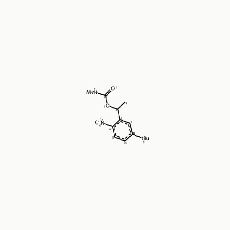 CNC(=O)OC(C)c1cc(C(C)(C)C)ccc1[N+](=O)[O-]